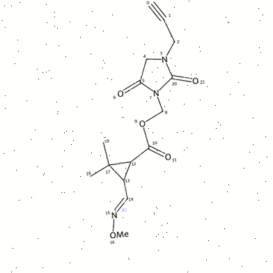 C#CCN1CC(=O)N(COC(=O)C2C(/C=N/OC)C2(C)C)C1=O